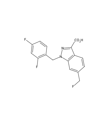 O=C(O)c1nn(Cc2ccc(F)cc2F)c2cc(CF)ccc12